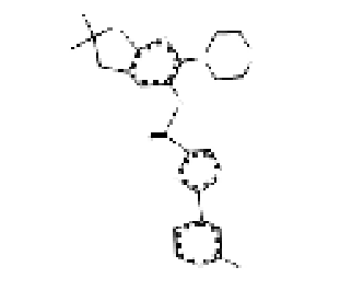 CC1(C)Cc2cc(NC(=O)c3coc(-c4ccnc(N)c4)n3)c(N3CCOCC3)nc2O1